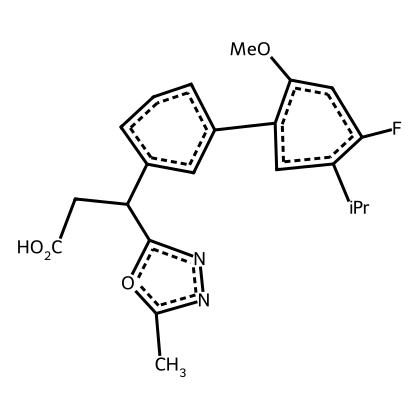 COc1cc(F)c(C(C)C)cc1-c1cccc(C(CC(=O)O)c2nnc(C)o2)c1